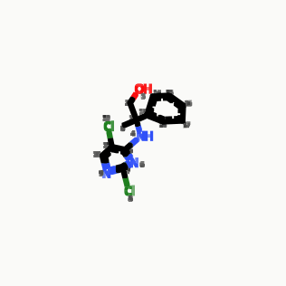 CC(CO)(Nc1nc(Cl)ncc1Cl)c1ccccc1